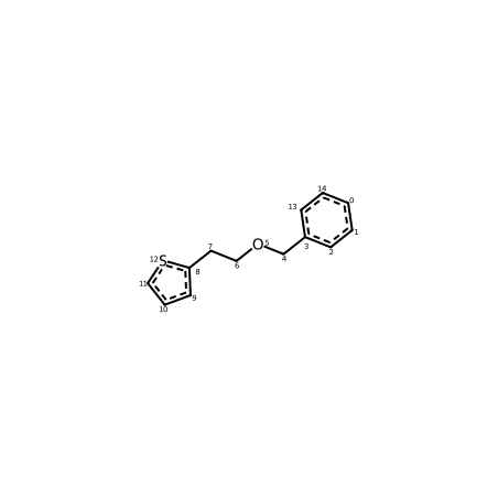 c1ccc(COCCc2cccs2)cc1